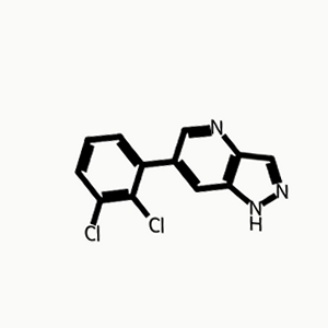 Clc1cccc(-c2cnc3cn[nH]c3c2)c1Cl